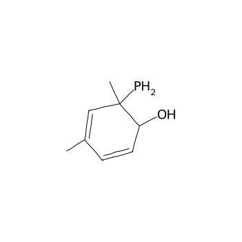 CC1=CC(C)(P)C(O)C=C1